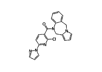 O=C(c1ccc(-n2cccn2)nc1Cl)N1Cc2cccn2Cc2ccccc21